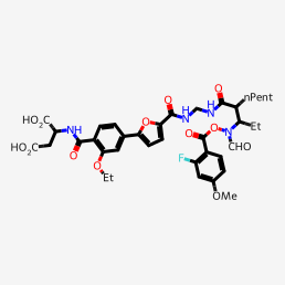 CCCCCC(C(=O)NCNC(=O)c1ccc(-c2ccc(C(=O)NC(CC(=O)O)C(=O)O)c(OCC)c2)o1)C(CC)N(C=O)OC(=O)c1ccc(OC)cc1F